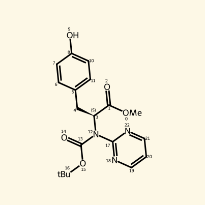 COC(=O)[C@H](Cc1ccc(O)cc1)N(C(=O)OC(C)(C)C)c1ncccn1